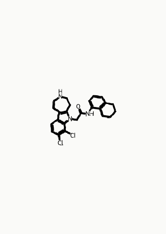 O=C(Cn1c2c(c3ccc(Cl)c(Cl)c31)CCNCC2)Nc1cccc2c1CCCC2